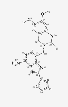 COc1cc2c(cc1OC)CN(Cc1cnc(N)n3nc(-c4ccco4)nc13)C(C)C2